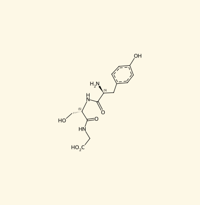 N[C@@H](Cc1ccc(O)cc1)C(=O)N[C@@H](CO)C(=O)NCC(=O)O